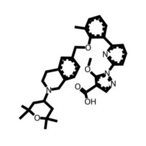 COc1c(C(=O)O)cnn1-c1cccc(-c2cccc(C)c2OCc2ccc3c(c2)CCN(C2CC(C)(C)OC(C)(C)C2)C3)n1